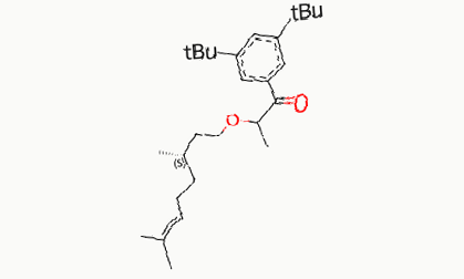 CC(C)=CCC[C@H](C)CCOC(C)C(=O)c1cc(C(C)(C)C)cc(C(C)(C)C)c1